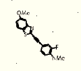 CNc1ccc(C#Cc2nc3cc(OC)ccc3s2)cc1F